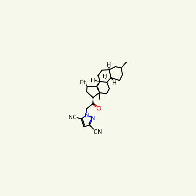 CC[C@@H]1C[C@H](C(=O)Cn2nc(C#N)cc2C#N)[C@@]2(C)CC[C@@H]3[C@H]4CC[C@H](C)C[C@H]4CC[C@H]3C12